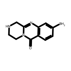 Bc1ccc2c(=O)n3c(nc2c1)CNCC3